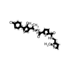 C/C(=N\NC(=O)c1ccc(C(=O)NCc2ccnn2C)s1)c1csc(-c2ccc(Cl)cc2)c1O